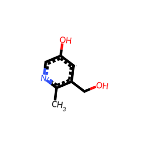 Cc1ncc(O)[c]c1CO